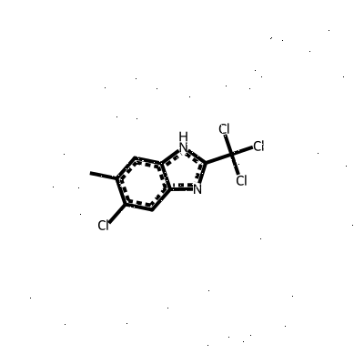 Cc1cc2[nH]c(C(Cl)(Cl)Cl)nc2cc1Cl